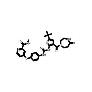 CNC(=O)c1cc(Oc2ccc(NC(=O)Nc3sc(C(C)(C)C)cc3C(=O)N3CCNC(=O)CC3)cc2)ccn1